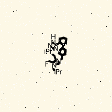 CC(C)CCC1=C(CF)N(CC(C)C)CN1Cc1ccc(-c2ccccc2-c2nnn[nH]2)cc1